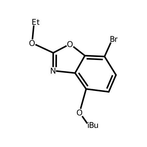 CCOc1nc2c(OC(C)CC)ccc(Br)c2o1